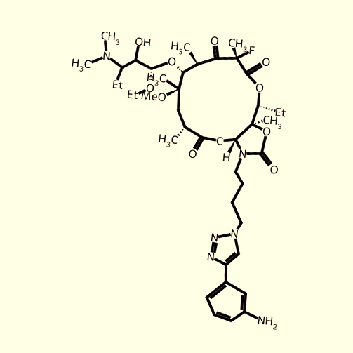 CCO[C@@H](O[C@@H]1[C@@H](C)C(=O)[C@](C)(F)C(=O)O[C@H](CC)[C@@]2(C)OC(=O)N(CCCCn3cc(-c4cccc(N)c4)nn3)[C@@H]2CC(=O)[C@H](C)C[C@@]1(C)OC)C(O)C(CC)N(C)C